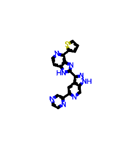 c1csc(-c2nccc3[nH]c(-c4n[nH]c5cnc(-c6cnccn6)cc45)nc23)c1